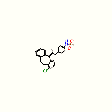 C/C(Cc1ccc(NS(C)(=O)=O)cc1)=C1\c2ccccc2CCc2c(Cl)cccc21